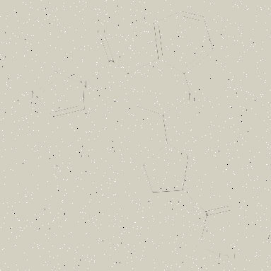 CC(Nc1ccccc1CC(=O)n1ccnc1)C1CCC(C(=O)OC(C)(C)C)C1